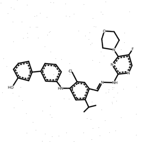 CC(C)c1cc(Nc2cccc(-c3cccc(O)c3)c2)c(Cl)cc1/C=N/Nc1ncc(F)c(N2CCOCC2)n1